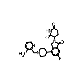 Cc1cccnc1CN1CCC(c2cc(F)cc3c2CN(C2CCC(=O)NC2=O)C3=O)CC1